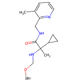 Cc1cccnc1CNC(=O)C(C)(NCOC(C)(C)C)C1CC1